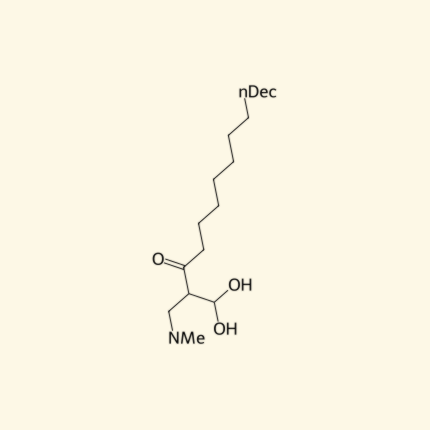 CCCCCCCCCCCCCCCCCC(=O)C(CNC)C(O)O